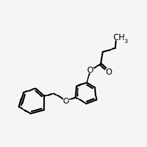 CCCC(=O)Oc1cccc(OCc2ccccc2)c1